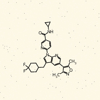 Cc1noc(C)c1-c1cnc2c(c1)c(CC1CCC(F)(F)CC1)cn2-c1ccc(C(=O)NC2CC2)cn1